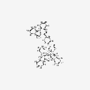 CCc1c(-c2ccc(-c3cccc4c3-c3ccccc3C43c4ccc5ccccc5c4Oc4c3ccc3ccccc43)cc2)nc2ccccc2c1-c1ccccc1